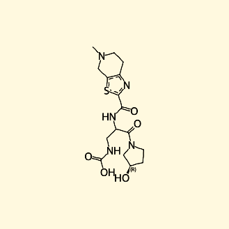 CN1CCc2nc(C(=O)NC(CNC(=O)O)C(=O)N3CC[C@@H](O)C3)sc2C1